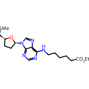 CCOC(=O)CCCCCNc1ncnc2c1ncn2[C@H]1CC[C@@H](CSC)O1